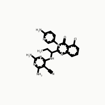 CCC(Nc1nc(N)nc(N)c1C#N)c1nc2cccc(Cl)c2c(=O)n1-c1ccc(N)nc1